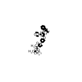 CN(C(=O)OC(C)(C)C)[C@H]1CCN([C@H]2CC[C@H](Oc3cc(-n4c(C(F)F)nc5ccccc54)nc(N4CCOCC4)n3)CC2)C1=O